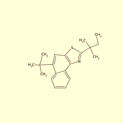 CCC(C)(C)c1nc2c(cc(C(C)(C)C)c3ccccc32)s1